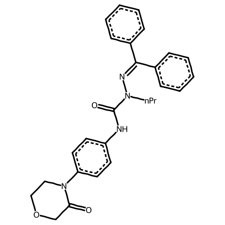 CCCN(N=C(c1ccccc1)c1ccccc1)C(=O)Nc1ccc(N2CCOCC2=O)cc1